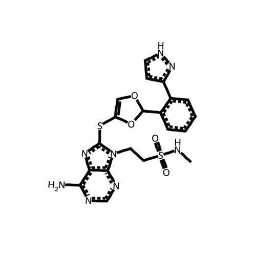 CNS(=O)(=O)CCn1c(SC2=COC(c3ccccc3-c3cc[nH]n3)O2)nc2c(N)ncnc21